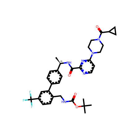 C[C@@H](NC(=O)c1nccc(N2CCN(C(=O)C3CC3)CC2)n1)c1ccc(-c2cc(C(F)(F)F)ccc2CNC(=O)OC(C)(C)C)cc1